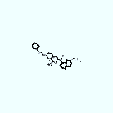 COc1ccc2nccc(C(F)CC[C@@H]3CCN(CCSc4ccccc4)C[C@@H]3C(=O)O)c2c1